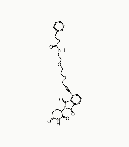 O=C1CCC(N2C(=O)c3cccc(C#CCOCCOCCNC(=O)OCc4ccccc4)c3C2=O)C(=O)N1